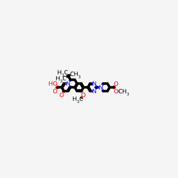 COC(=O)C1CCN(c2ncc(-c3cc4c(cc3OC)-c3cc(=O)c(C(=O)O)cn3C(C(C)(C)C)C4)cn2)CC1